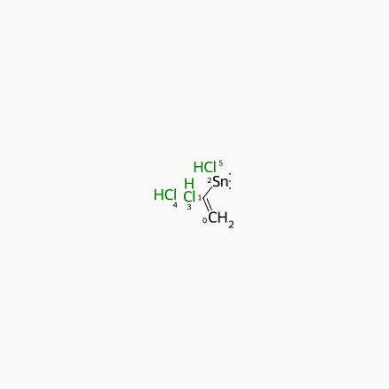 C=[CH][Sn].Cl.Cl.Cl